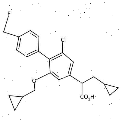 O=C(O)C(CC1CC1)c1cc(Cl)c(-c2ccc(CF)cc2)c(OCC2CC2)c1